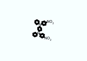 O=[N+]([O-])c1ccc(N(c2ccccc2)c2ccc(N(c3ccccc3)c3ccc([N+](=O)[O-])cc3)cc2)cc1